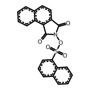 O=C1c2ccc3ccccc3c2C(=O)N1OS(=O)(=O)c1cccc2ccccc12